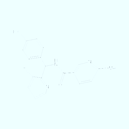 COc1ccc(C(=O)NC(c2ccc(C(F)(F)F)cc2)c2ncccc2F)cn1